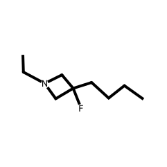 CCCCC1(F)CN(CC)C1